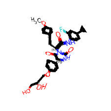 COc1ccc(C[C@@H](C(=O)Nc2ccc(C3CC3)cc2F)N2C(=O)N[C@H](c3ccc(OC[C@H](O)CO)cc3)C2=O)cc1